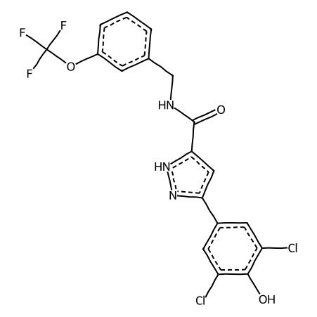 O=C(NCc1cccc(OC(F)(F)F)c1)c1cc(-c2cc(Cl)c(O)c(Cl)c2)n[nH]1